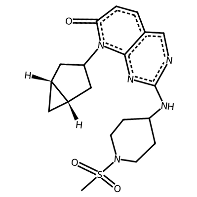 CS(=O)(=O)N1CCC(Nc2ncc3ccc(=O)n(C4C[C@@H]5C[C@@H]5C4)c3n2)CC1